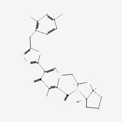 O=C1c2c(O)c(=O)c(-c3nnc(Cc4ccc(F)cc4F)s3)cn2C[C@H]2O[C@@H]3CCC[C@@H]3N12